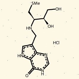 CSC[C@H](NCc1c[nH]c2c(=O)[nH]cnc12)[C@H](O)CO.Cl